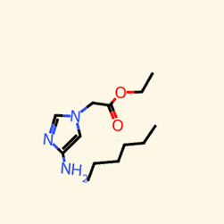 CCCCCC.CCOC(=O)Cn1cnc(N)c1